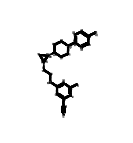 Cc1nc(C#N)cc(OCC[C@@H]2C[C@@H]2C2CCN(c3ncc(Cl)cn3)CC2)n1